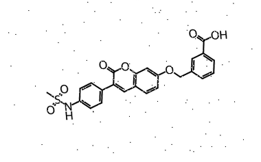 CS(=O)(=O)Nc1ccc(-c2cc3ccc(OCc4cccc(C(=O)O)c4)cc3oc2=O)cc1